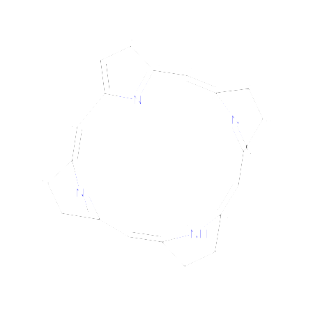 C1=C2/C=C3/CCC(=N3)/C=C3/CC/C(=C/C4=NC(=C\C(=N2)C1)/CC4)N3